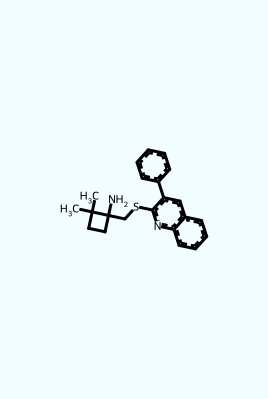 CC1(C)CCC1(N)CSc1nc2ccccc2cc1-c1ccccc1